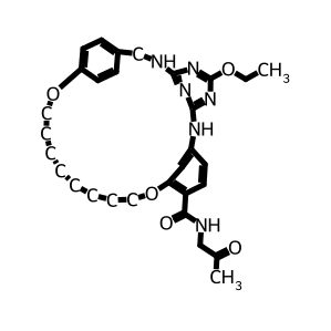 CCOc1nc2nc(n1)Nc1ccc(C(=O)NCC(C)=O)c(c1)OCCCCCCCCOc1ccc(cc1)CN2